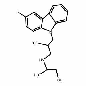 CC(CO)NCC(O)Cn1c2ccccc2c2cc(F)ccc21